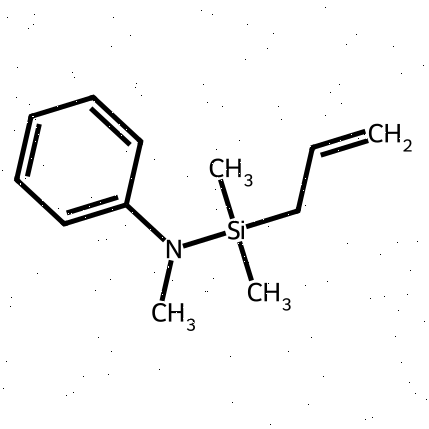 C=CC[Si](C)(C)N(C)c1ccccc1